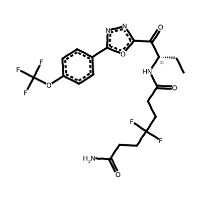 CC[C@H](NC(=O)[CH]CC(F)(F)CCC(N)=O)C(=O)c1nnc(-c2ccc(OC(F)(F)F)cc2)o1